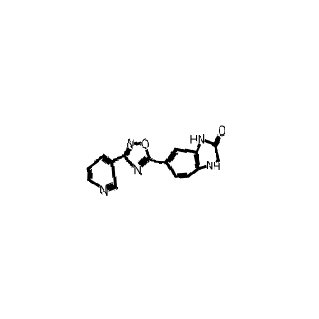 O=C1CNc2ccc(-c3nc(-c4cccnc4)no3)cc2N1